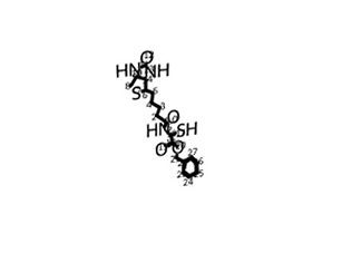 O=C(CCCCC1SCC2NC(=O)NC21)NC(S)C(=O)OCc1ccccc1